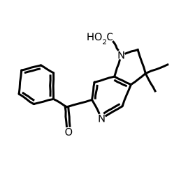 CC1(C)CN(C(=O)O)c2cc(C(=O)c3ccccc3)ncc21